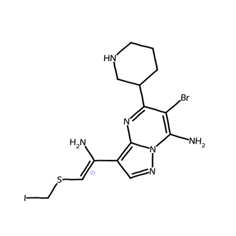 N/C(=C\SCI)c1cnn2c(N)c(Br)c(C3CCCNC3)nc12